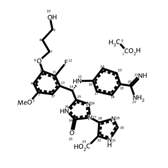 CC(=O)O.COc1cc(OCCCO)c(F)c([C@H](Nc2ccc(C(=N)N)cc2)c2nn(-c3nc[nH]c3C(=O)O)c(=O)[nH]2)c1